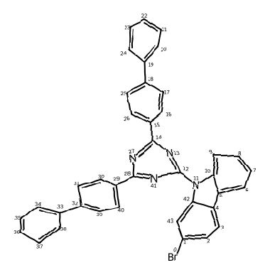 Brc1ccc2c3ccccc3n(-c3nc(-c4ccc(-c5ccccc5)cc4)nc(-c4ccc(-c5ccccc5)cc4)n3)c2c1